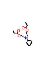 C=CC(=O)OCCN(CCOC(=O)C=C)c1ccccc1